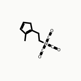 CC1=C(C[CH2][W](=[C]=O)(=[C]=O)=[C]=O)CC=C1